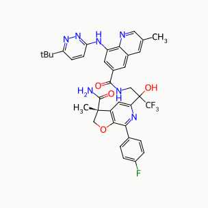 Cc1cnc2c(Nc3ccc(C(C)(C)C)nn3)cc(C(=O)NCC(O)(c3cc4c(c(-c5ccc(F)cc5)n3)OC[C@]4(C)C(N)=O)C(F)(F)F)cc2c1